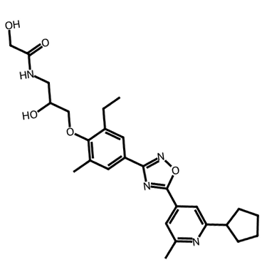 CCc1cc(-c2noc(-c3cc(C)nc(C4CCCC4)c3)n2)cc(C)c1OCC(O)CNC(=O)CO